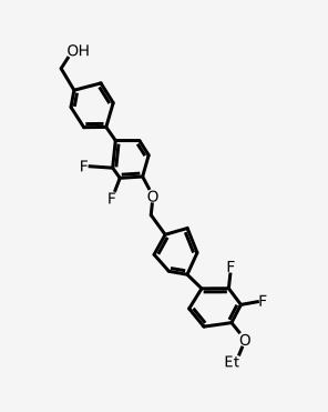 CCOc1ccc(-c2ccc(COc3ccc(-c4ccc(CO)cc4)c(F)c3F)cc2)c(F)c1F